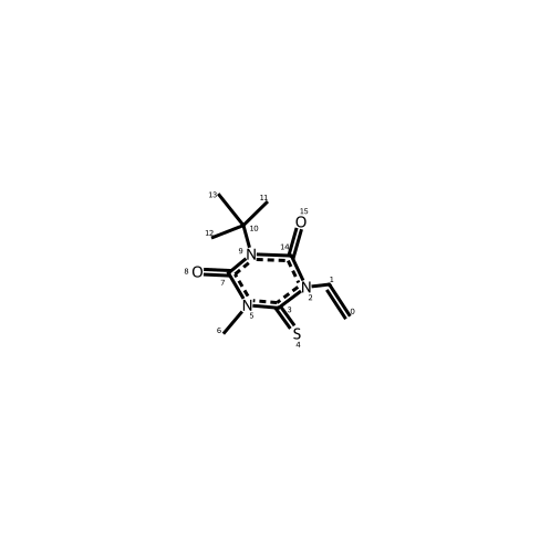 C=Cn1c(=S)n(C)c(=O)n(C(C)(C)C)c1=O